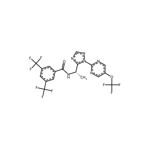 C[C@H](NC(=O)c1cc(C(F)(F)F)cc(C(F)(F)F)c1)c1ncnn1-c1ncc(OC(F)(F)F)cn1